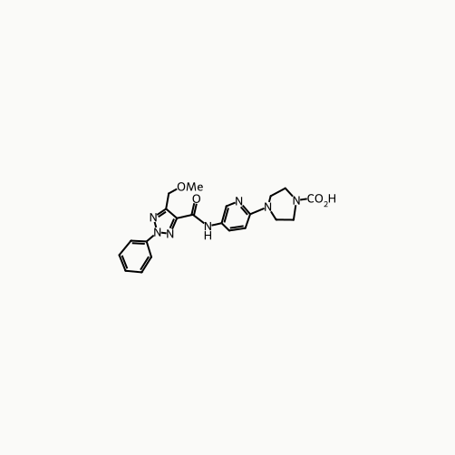 COCc1nn(-c2ccccc2)nc1C(=O)Nc1ccc(N2CCN(C(=O)O)CC2)nc1